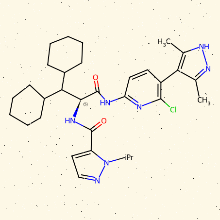 Cc1n[nH]c(C)c1-c1ccc(NC(=O)[C@@H](NC(=O)c2ccnn2C(C)C)C(C2CCCCC2)C2CCCCC2)nc1Cl